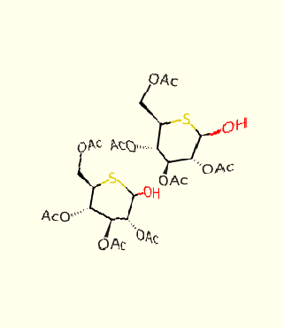 CC(=O)OC[C@H]1SC(O)[C@H](OC(C)=O)[C@@H](OC(C)=O)[C@@H]1OC(C)=O.CC(=O)OC[C@H]1S[C@@H](O)[C@H](OC(C)=O)[C@@H](OC(C)=O)[C@@H]1OC(C)=O